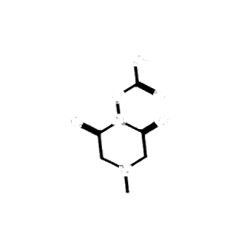 CC(C)C(=O)ON1C(=O)CN(C)CC1=O